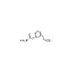 CCCCCCCC(=O)Oc1cccc(/C=C/C(=O)O)c1